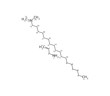 C=CCN.CCCCCCCCCCCCCCCCCCN(C)C